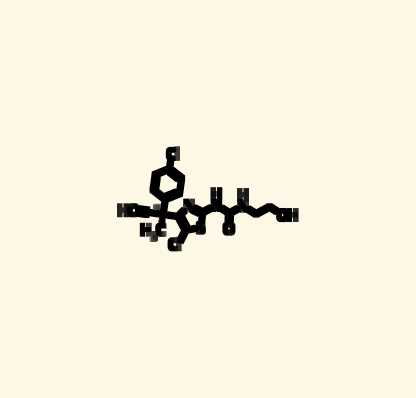 C#C[C@](C)(c1ccc(Cl)cc1)c1nc(NC(=O)NCCO)sc1Cl